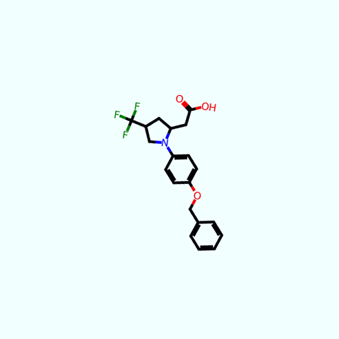 O=C(O)CC1CC(C(F)(F)F)CN1c1ccc(OCc2ccccc2)cc1